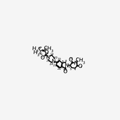 CN1C(=O)CCC(N2Cc3cc(N4CCN(C(=O)OC(C)(C)C)CC4)ccc3C2=O)C1=O